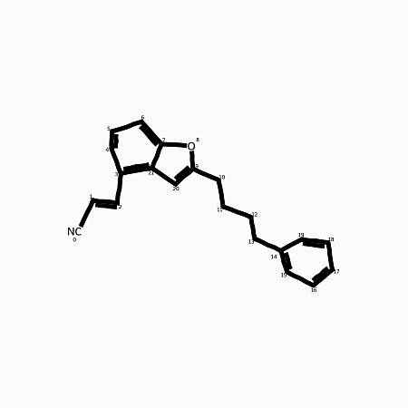 N#CC=Cc1cccc2oc(CCCCc3ccccc3)cc12